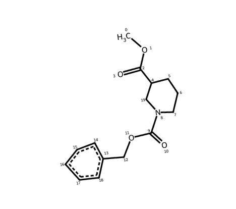 COC(=O)C1CCCN(C(=O)OCc2ccccc2)C1